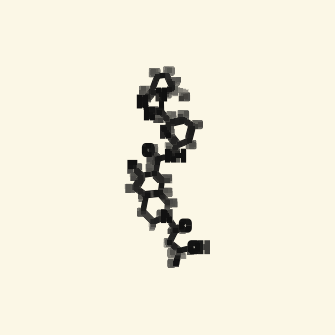 C[C@H](O)CC(=O)N1CCc2cc(F)c(C(=O)Nc3cccc(-c4nnc5n4[C@@H](C)CC5)n3)cc2C1